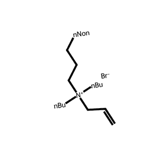 C=CC[N+](CCCC)(CCCC)CCCCCCCCCCCC.[Br-]